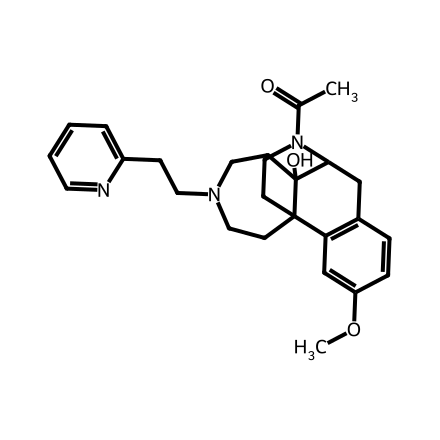 COc1ccc2c(c1)C13CCN(CCc4ccccn4)CCC1(O)C(C2)N(C(C)=O)CC3